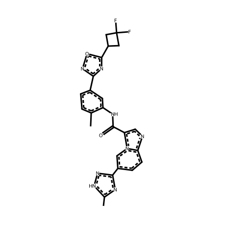 Cc1nc(-c2ccc3ncc(C(=O)Nc4cc(-c5noc(C6CC(F)(F)C6)n5)ccc4C)n3c2)n[nH]1